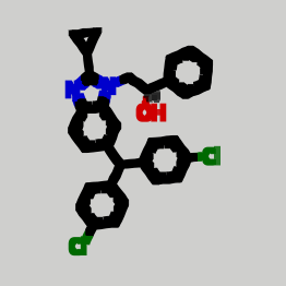 O[C@H](Cn1c(C2CC2)nc2ccc(C(c3ccc(Cl)cc3)c3ccc(Cl)cc3)cc21)c1ccccc1